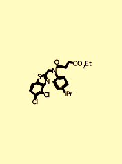 CCOC(=O)CCC(=O)N(Cc1nc2c(Cl)c(Cl)ccc2s1)c1ccc(C(C)C)cc1